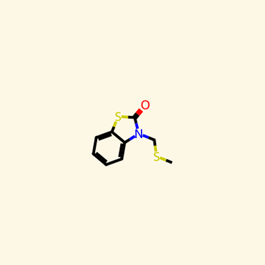 CSCn1c(=O)sc2ccccc21